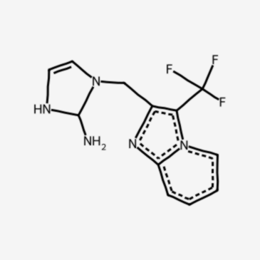 NC1NC=CN1Cc1nc2ccccn2c1C(F)(F)F